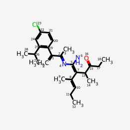 C=C(/C(C)=N/C(N)=C(\C(C)=C\CC)C(C)C(=O)CC)c1ccc(Cl)cc1C(C)C